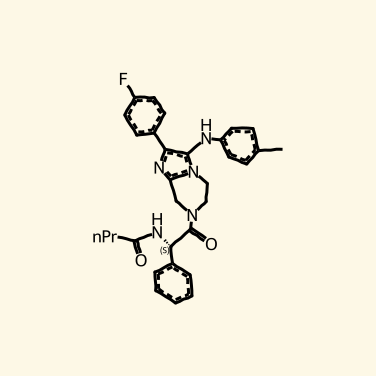 CCCC(=O)N[C@H](C(=O)N1CCn2c(nc(-c3ccc(F)cc3)c2Nc2ccc(C)cc2)C1)c1ccccc1